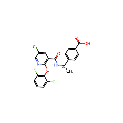 C[C@H](NC(=O)c1cc(Cl)cnc1Oc1c(F)cccc1F)c1ccc(C(=O)O)cc1